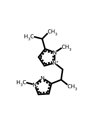 CC(C)c1cc[n+](CC(C)c2ccn(C)n2)n1C